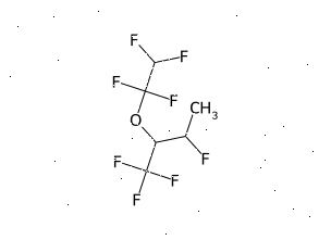 CC(F)C(OC(F)(F)C(F)F)C(F)(F)F